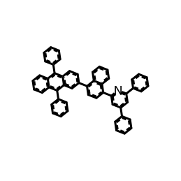 c1ccc(-c2cc(-c3ccccc3)nc(-c3ccc(-c4ccc5c(-c6ccccc6)c6ccccc6c(-c6ccccc6)c5c4)c4ccccc34)c2)cc1